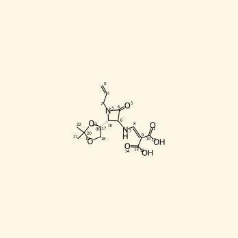 C=CCN1C(=O)C(NC=C(C(=O)O)C(=O)O)C1[C@@H]1COC(C)(C)O1